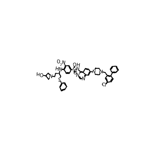 O=[N+]([O-])c1cc(S(=O)(=O)Nc2ncnc3cc(N4CCN(Cc5cc(Cl)ccc5-c5ccccc5)CC4)ccc23)ccc1N[C@H](CCN1CC(O)C1)CSc1ccccc1